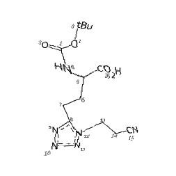 CC(C)(C)OC(=O)NC(CCc1nnnn1CCC#N)C(=O)O